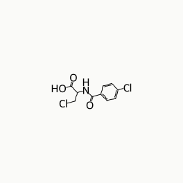 O=C(NC(CCl)C(=O)O)c1ccc(Cl)cc1